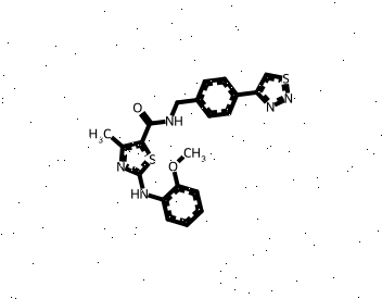 COc1ccccc1Nc1nc(C)c(C(=O)NCc2ccc(-c3csnn3)cc2)s1